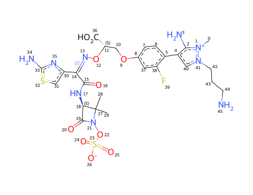 C[n+]1c(N)c(-c2ccc(OC[C@H](O/N=C(\C(=O)N[C@@H]3C(=O)N(OS(=O)(=O)[O-])C3(C)C)c3csc(N)n3)C(=O)O)cc2F)cn1CCCN